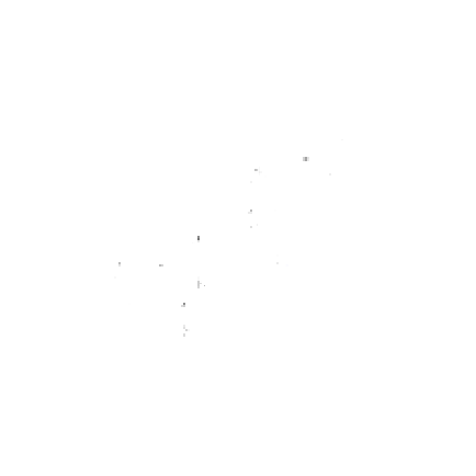 COc1ccc2c(/C=C\CCN3C(=O)c4ccccc4C3=O)ccnc2c1